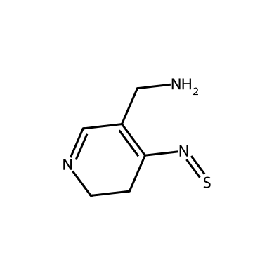 NCC1=C(N=S)CCN=C1